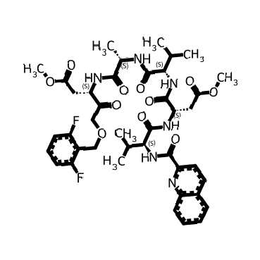 COC(=O)C[C@H](NC(=O)[C@H](C)NC(=O)[C@@H](NC(=O)[C@H](CC(=O)OC)NC(=O)[C@@H](NC(=O)c1ccc2ccccc2n1)C(C)C)C(C)C)C(=O)COCc1c(F)cccc1F